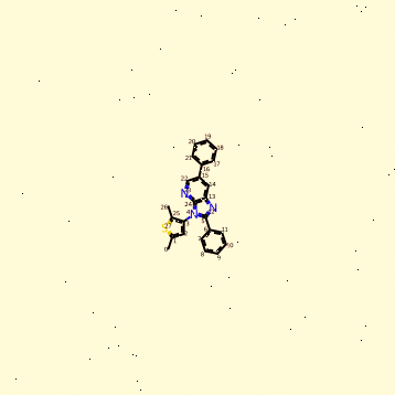 Cc1cc(-n2c(-c3ccccc3)nc3cc(-c4ccccc4)cnc32)c(C)s1